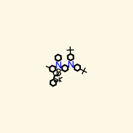 Cc1cc2c3c(c1)N(c1ccccc1)c1cc(N(c4ccc(C(C)(C)C)cc4)c4ccc(C(C)(C)C)cc4)ccc1B3C1=C2c2ccccc2[Si]1(C)C